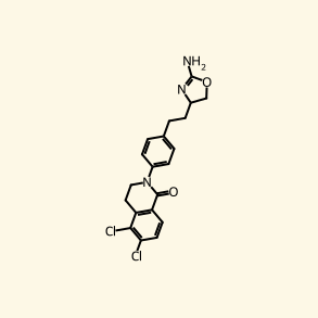 NC1=NC(CCc2ccc(N3CCc4c(ccc(Cl)c4Cl)C3=O)cc2)CO1